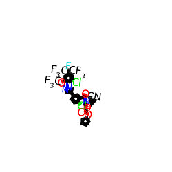 N#CC1(N(COC(=O)O[C@H]2C[CH]CC2)C(=O)c2cc(-c3cnn(-c4c(Cl)cc(C(F)(C(F)(F)F)C(F)(F)F)cc4OC(F)(F)F)c3)ccc2Cl)CC1